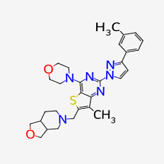 Cc1cccc(-c2ccn(-c3nc(N4CCOCC4)c4sc(CN5CCC6COCC6C5)c(C)c4n3)n2)c1